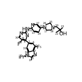 Cc1nc2c(F)cc(-c3nc(Nc4ccc(N5CCN(CC(C)(C)O)CC5)cn4)ncc3F)cc2n1C(C)C